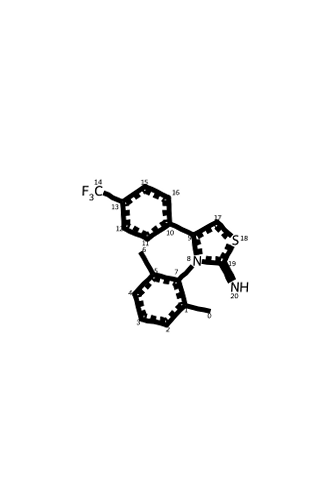 Cc1cccc(C)c1-n1c(-c2ccc(C(F)(F)F)cc2)csc1=N